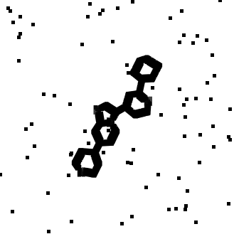 c1ccc(-c2cc(-c3cnc4cc(-c5ccncc5)ccn34)ccn2)cc1